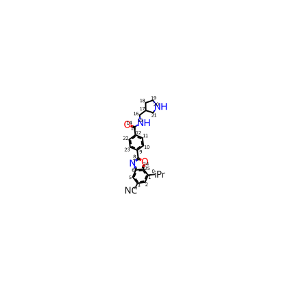 CC(C)c1cc(C#N)cc2nc(-c3ccc(C(=O)NCC4CCNC4)cc3)oc12